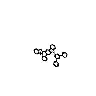 c1ccc(-c2cc(-c3ccccc3)cc(-n3c4ccccc4c4cc5c(cc43)c3ccccc3n3c4ccccc4cc53)c2)cc1